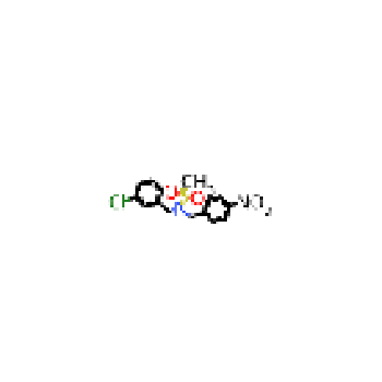 CS(=O)(=O)N(Cc1ccc([N+](=O)[O-])cc1)Cc1cccc(Cl)c1